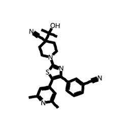 Cc1cc(-c2sc(N3CCC(C#N)(C(C)(C)O)CC3)nc2-c2cccc(C#N)c2)cc(C)n1